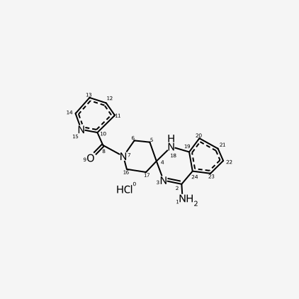 Cl.NC1=NC2(CCN(C(=O)c3ccccn3)CC2)Nc2ccccc21